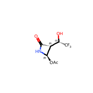 CC(=O)O[C@H]1NC(=O)[C@@H]1[C@H](O)C(F)(F)F